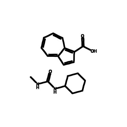 CNC(=O)NC1CCCCC1.O=C(O)c1ccc2cccccc1-2